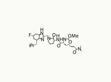 COC(=O)N[C@@H](CC/C=C/C(=O)N(C)C)C(=O)Nc1cccn(Cc2nc3c(CC(C)C)cc(F)cc3[nH]2)c1=O